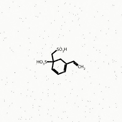 C=CC1=CC=CC(CS(=O)(=O)O)(S(=O)(=O)O)C1